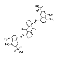 Nc1ccc(N=Nc2cccc3c2C(=O)c2cccc(N=Nc4ccc(N)c5c(O)cc(S(=O)(=O)O)cc45)c2C3=O)c2cc(S(=O)(=O)O)cc(O)c12